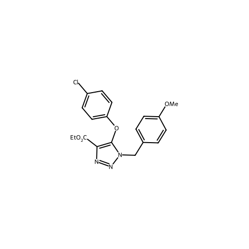 CCOC(=O)c1nnn(Cc2ccc(OC)cc2)c1Oc1ccc(Cl)cc1